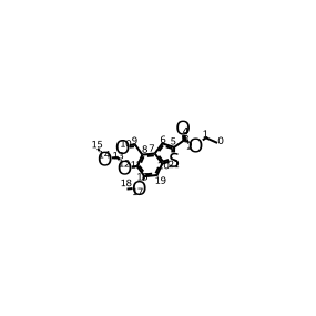 CCOC(=O)c1cc2c(C=O)c(OCOC)c(OC)cc2s1